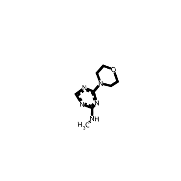 CNc1ncnc(N2CCOCC2)n1